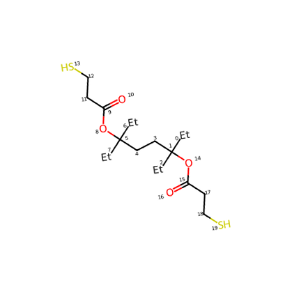 CCC(CC)(CCC(CC)(CC)OC(=O)CCS)OC(=O)CCS